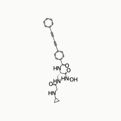 O=C(CNC1CC1)NC[C@H](NC(=O)c1ccc(C#CC#Cc2ccccc2)cc1)C(=O)NO